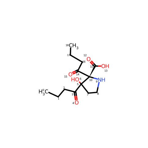 CCCC(=O)C1(O)CCN[C@@]1(C(=O)O)C(=O)CCC